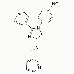 O=[N+]([O-])c1ccc(-n2sc(=NCc3cccnc3)nc2-c2ccccc2)cc1